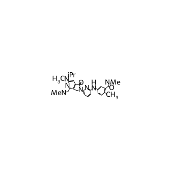 CNCc1nc(N(C)C(C)C)cc2c1CN(c1cccc(Nc3ccc(C)c(C(=O)NC)c3)n1)C2=O